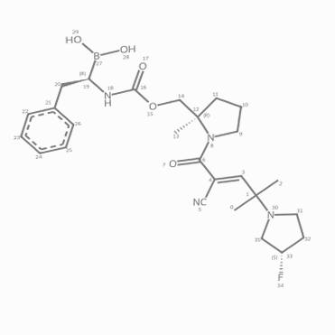 CC(C)(C=C(C#N)C(=O)N1CCC[C@]1(C)COC(=O)N[C@@H](Cc1ccccc1)B(O)O)N1CC[C@H](F)C1